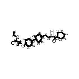 CCOC(=O)C(C)(C)Oc1ccc(-c2ccc(CCNC(=O)C3CCCCC3)cc2)cc1